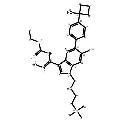 CCOC(=O)N/C(=N\O)c1cn(COCC[Si](C)(C)C)c2cc(F)c(-c3ccc(C4(O)CCC4)cc3)nc12